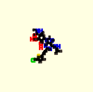 CNC(=O)[C@]12CC1[C@@H](n1cnc3c(NC4CC4)nc(C#Cc4ccc(Cl)s4)nc31)C(O)[C@@H]2O